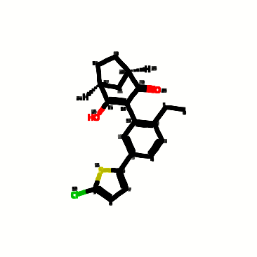 CCc1ccc(-c2ccc(Cl)s2)cc1C1=C(O)[C@H]2CC[C@H](C2)C1=O